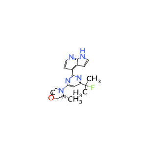 C[C@@H]1COCCN1c1cc(C(C)(C)F)nc(-c2ccnc3[nH]ccc23)n1